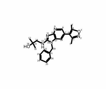 Cc1noc(C)c1-c1cnc2nc(NCC(C)(C)O)n(Cc3ccccc3)c2c1